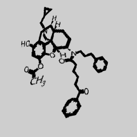 CC(=O)Oc1cc(O)c2c3c1O[C@H]1[C@@H](N(CCCc4ccccc4)C(=O)CCCCC(=O)c4ccccc4)CC[C@H]4[C@@H](C2)N(CC2CC2)CC[C@@]341